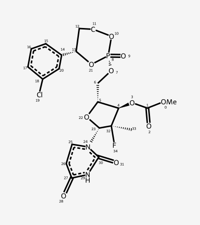 COC(=O)O[C@@H]1[C@@H](CO[P@@]2(=O)OCC[C@@H](c3cccc(Cl)c3)O2)O[C@@H](n2ccc(=O)[nH]c2=O)[C@]1(C)F